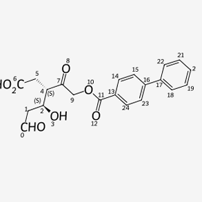 O=CC[C@H](O)[C@H](CC(=O)O)C(=O)COC(=O)c1ccc(-c2ccccc2)cc1